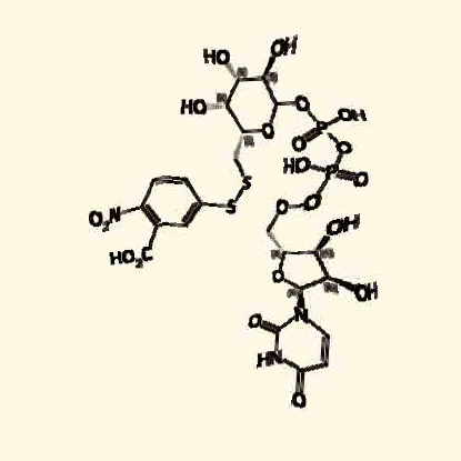 O=C(O)c1cc(SSC[C@H]2OC(OP(=O)(O)OP(=O)(O)OOC[C@H]3O[C@H](n4ccc(=O)[nH]c4=O)[C@H](O)[C@@H]3O)[C@H](O)[C@@H](O)[C@H]2O)ccc1[N+](=O)[O-]